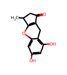 CC1CC(=O)C2=C1Oc1cc(O)cc(O)c1C2